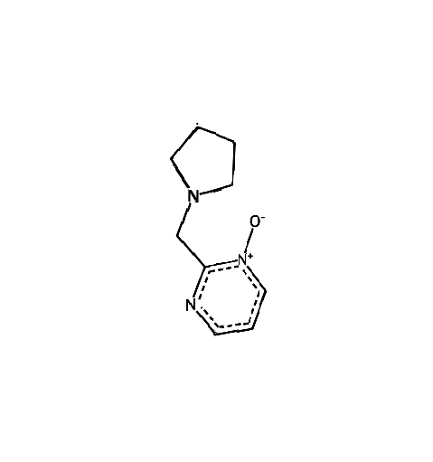 [O-][n+]1cccnc1CN1C[CH]CC1